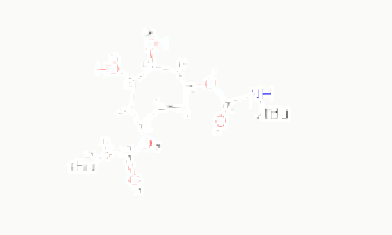 CC(C)(C)NC(=O)OC1/C=C/C(OC(=O)SC(C)(C)C)CC(O)C(O)C1